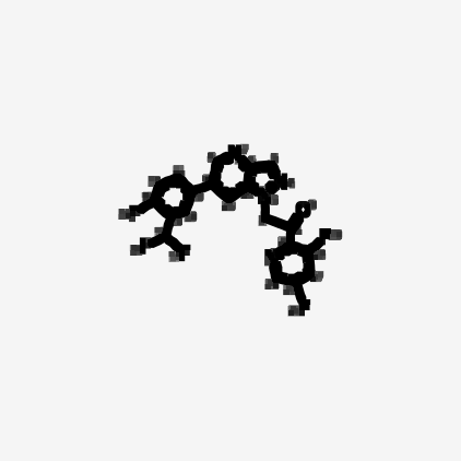 O=C(Cn1ncc2ncc(-c3ccc(F)c(C(F)F)c3)cc21)c1ncc(F)cc1F